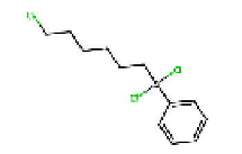 ClCCCCCC[Si](Cl)(Cl)c1ccccc1